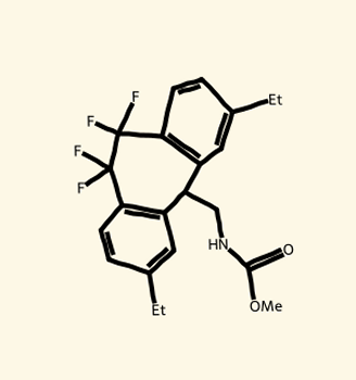 CCc1ccc2c(c1)C(CNC(=O)OC)c1cc(CC)ccc1C(F)(F)C2(F)F